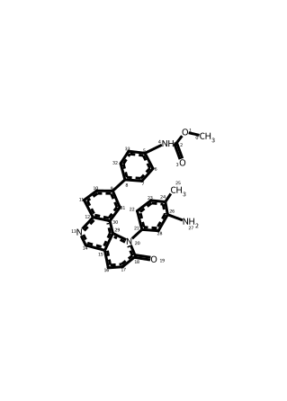 COC(=O)Nc1ccc(-c2ccc3ncc4ccc(=O)n(-c5ccc(C)c(N)c5)c4c3c2)cc1